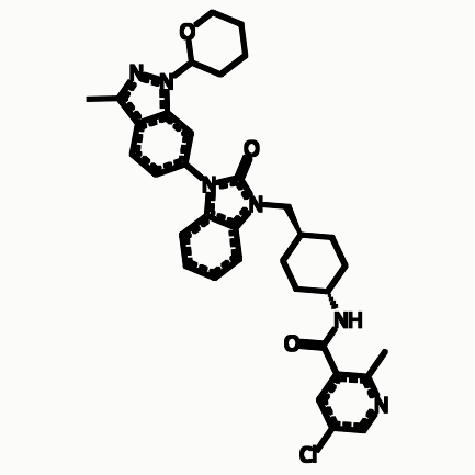 Cc1ncc(Cl)cc1C(=O)N[C@H]1CC[C@H](Cn2c(=O)n(-c3ccc4c(C)nn(C5CCCCO5)c4c3)c3ccccc32)CC1